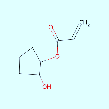 C=CC(=O)OC1CCCC1O